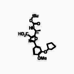 COc1ccc(-c2nc(C(=O)O)c([C@H](C)NC(=O)OC(C)(C)C)o2)cc1OC1CCCC1